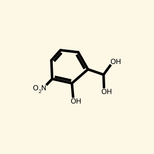 O=[N+]([O-])c1cccc(C(O)O)c1O